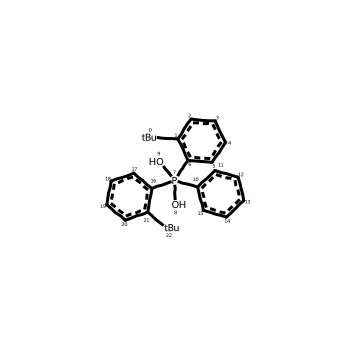 CC(C)(C)c1ccccc1P(O)(O)(c1ccccc1)c1ccccc1C(C)(C)C